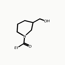 CCC(=O)N1CCCC(CO)C1